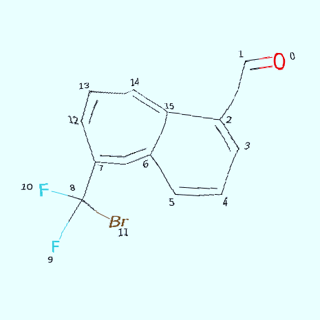 O=Cc1cccc2c(C(F)(F)Br)cccc12